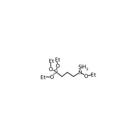 CCON([SiH3])CCC[Si](OCC)(OCC)OCC